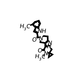 Cc1cccc2[nH]c(C(=O)N3CCc4nn5c(c4C3)C(=O)N(C)C3(CC3)C5)cc12